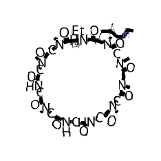 C/C=C/C[C@@H](C)C[C@H]1C(=O)N[C@@H](CC)C(=O)N(C)CC(=O)N(C)CC(=O)NCC(=O)N(C)CC(=O)NCC(=O)NCC(=O)N(C)CC(=O)N(C)CC(=O)N(C)CC(=O)N1C